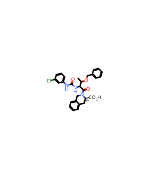 CC(OCc1ccccc1)C(NC(=O)Nc1cccc(Cl)c1)C(=O)N1Cc2ccccc2C[C@@H]1C(=O)O